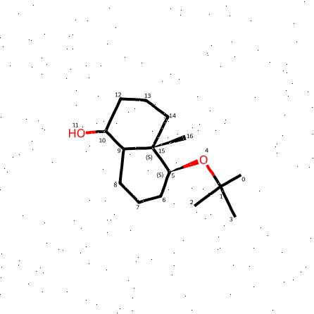 CC(C)(C)O[C@H]1CCCC2C(O)CCC[C@@]21C